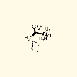 C=C(CCC)C(=O)O.CN.CN.Cl